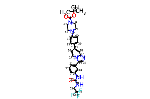 CC(C)(C)OC(=O)N1CCN(c2ccc(-c3ccn4c(-c5cccc(NC(=O)NCC(F)(F)F)c5)cnc4c3)cc2)CC1